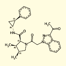 CC(=O)c1nn(CC(=O)N2C[C@@H](C)[C@@H](C)[C@H]2C(=O)N[C@@H]2C[C@H]2c2ccccc2)c2ccccc12